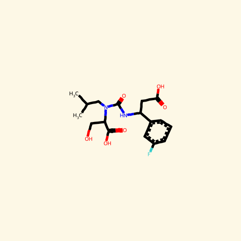 CC(C)CN(C(=O)NC(CC(=O)O)c1cccc(F)c1)C(CO)C(=O)O